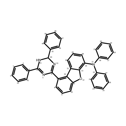 c1ccc(C2=NC(c3cccc4oc5c(N(c6ccccc6)c6ccccc6)cccc5c34)=NC(c3ccccc3)N2)cc1